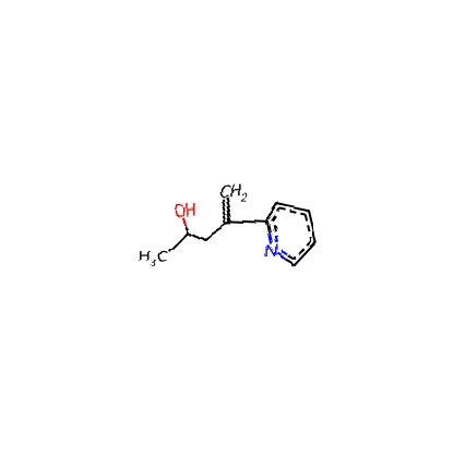 C=C(CC(C)O)c1ccccn1